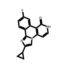 O=c1[nH]ccc2c1c1cc(F)ccc1c1nc(C3CC3)cn21